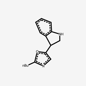 CCCCc1ncc(C2CNc3ccccc32)o1